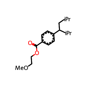 COCCOC(=O)c1ccc(C(CC(C)C)C(C)C)cc1